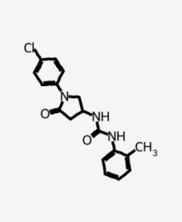 Cc1ccccc1NC(=O)NC1CC(=O)N(c2ccc(Cl)cc2)C1